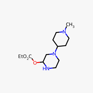 CCOC(=O)OC1CN(C2CCN(C)CC2)CCN1